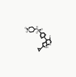 O=S1(=O)CCC(NS(=O)(=O)c2ccc(-c3c(F)cnc4[nH]c(C5CC5)cc34)cc2)CC1